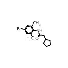 Cc1cc(Br)cc(C)c1NC(=O)CC1CCCC1